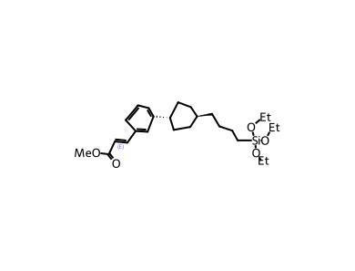 CCO[Si](CCCC[C@H]1CC[C@H](c2cccc(/C=C/C(=O)OC)c2)CC1)(OCC)OCC